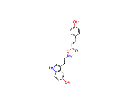 O=C(/C=C/c1ccc(O)cc1)ONCCc1c[nH]c2ccc(O)cc12